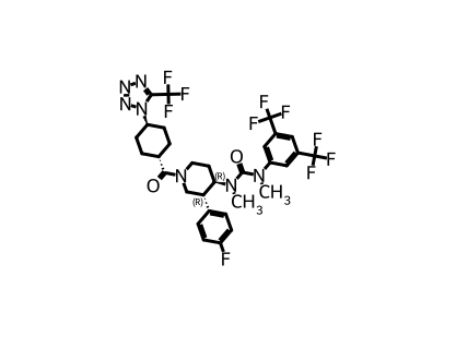 CN(C(=O)N(C)[C@@H]1CCN(C(=O)[C@H]2CC[C@H](n3nnnc3C(F)(F)F)CC2)C[C@H]1c1ccc(F)cc1)c1cc(C(F)(F)F)cc(C(F)(F)F)c1